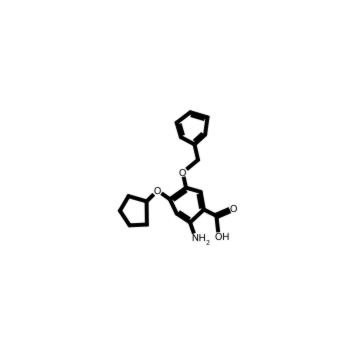 Nc1cc(OC2CCCC2)c(OCc2ccccc2)cc1C(=O)O